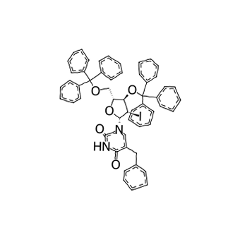 O=c1[nH]c(=O)n([C@@H]2O[C@H](COC(c3ccccc3)(c3ccccc3)c3ccccc3)[C@@H](OC(c3ccccc3)(c3ccccc3)c3ccccc3)[C@H]2I)cc1Cc1ccccc1